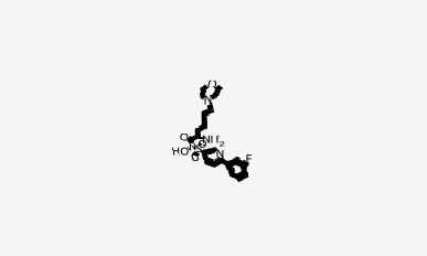 N[C@H](CCCCN1CCOCC1)C(=O)N(O)S(=O)(=O)c1ccc(-c2cccc(F)c2)nc1